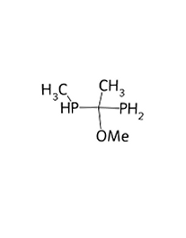 COC(C)(P)PC